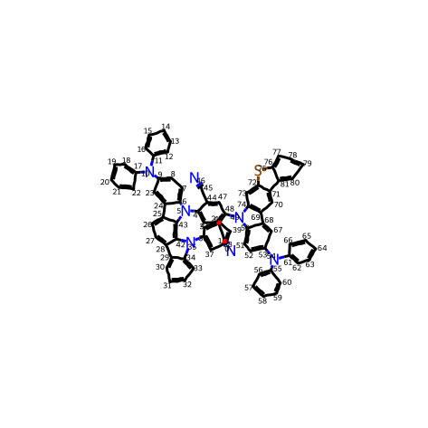 N#Cc1cc(-n2c3ccc(N(c4ccccc4)c4ccccc4)cc3c3ccc4c5ccccc5n(-c5ccccc5)c4c32)c(C#N)cc1-n1c2ccc(N(c3ccccc3)c3ccccc3)cc2c2cc3c(cc21)sc1ccccc13